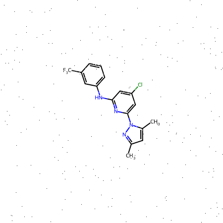 Cc1cc(C)n(-c2cc(Cl)cc(Nc3cccc(C(F)(F)F)c3)n2)n1